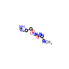 Cn1cc(-c2cnc(N)c(C(=O)N[C@@H]3CCN(C(=O)Oc4cccc(-c5ccc(CN6CC[C@@H](N)C6)cc5)c4)C3)c2)cn1